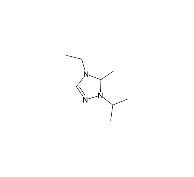 CCN1C=NN(C(C)C)C1C